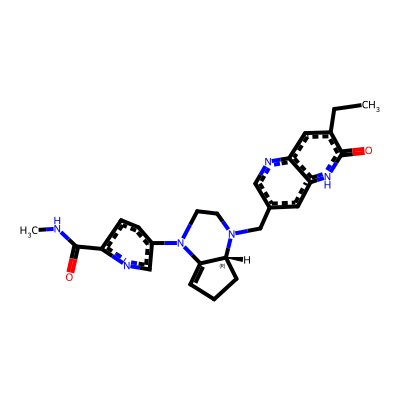 CCc1cc2ncc(CN3CCN(c4ccc(C(=O)NC)nc4)C4=CCC[C@H]43)cc2[nH]c1=O